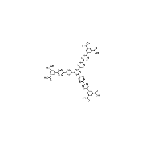 O=C(O)c1cc(C(=O)O)cc(-c2nnc(-c3nnc(-c4nc(-c5nnc(-c6nnc(-c7cc(C(=O)O)cc(C(=O)O)c7)nn6)nn5)nc(-c5nnc(-c6nnc(-c7cc(C(=O)O)cc(C(=O)O)c7)nn6)nn5)n4)nn3)nn2)c1